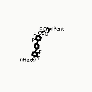 CCCCCCOc1ccc(-c2ccc(-c3ccc(OC(F)(F)C4OCC(CCCCC)CO4)c(F)c3F)cc2)c(F)c1F